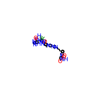 COc1cc(N2CCC(N3CCN(CCCCc4cccc5c4CN(C4CCC(=O)NC4=O)C5=O)CC3)CC2)c(C)cc1Nc1ncc(Br)c(Nc2ccc3nccnc3c2P(C)(C)=O)n1